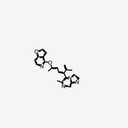 C=C(C)/C(=C\C=C(/C)Oc1nccc2occc12)c1c(C)ncc2nccn12